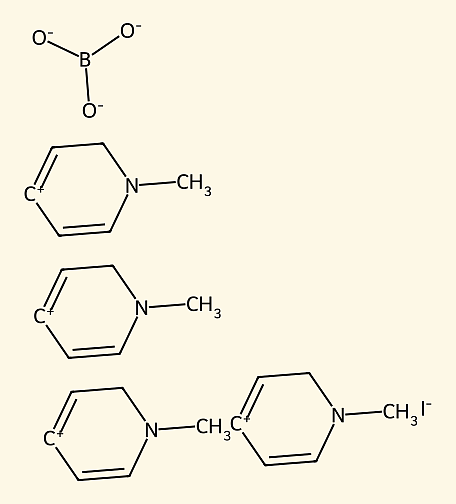 CN1C=C[C+]=CC1.CN1C=C[C+]=CC1.CN1C=C[C+]=CC1.CN1C=C[C+]=CC1.[I-].[O-]B([O-])[O-]